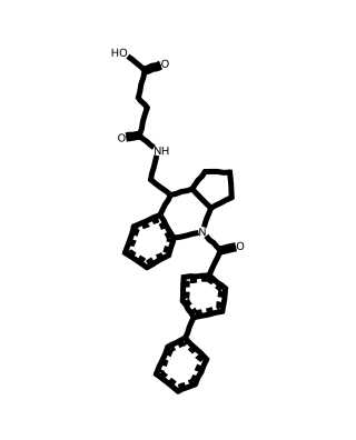 O=C(O)CCC(=O)NCC1c2ccccc2N(C(=O)c2ccc(-c3ccccc3)cc2)C2CCCC12